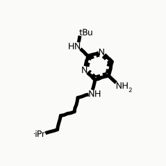 C[C](C)CCCCNc1nc(NC(C)(C)C)ncc1N